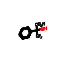 O=C(O)C(O)(c1ccccc1)C(F)(F)F